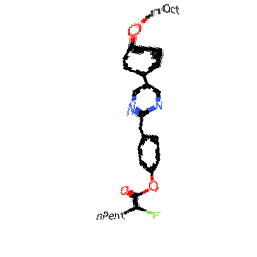 CCCCCCCCOc1ccc(-c2cnc(-c3ccc(OC(=O)C(F)CCCCC)cc3)nc2)cc1